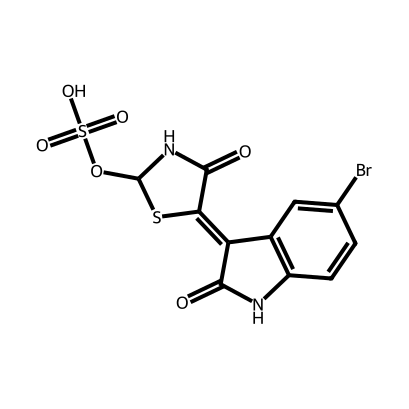 O=C1NC(OS(=O)(=O)O)SC1=C1C(=O)Nc2ccc(Br)cc21